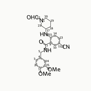 COc1ccc(CNC(=O)c2cc(C#N)ccc2NC2CCCN(C=O)C2)cc1OC